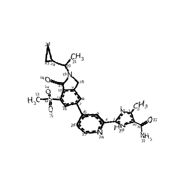 Cc1nc(-c2cc(-c3cc4c(c(S(C)(=O)=O)c3)C(=O)N(C(C)C3CC3)C4)ccn2)[nH]c1C(N)=O